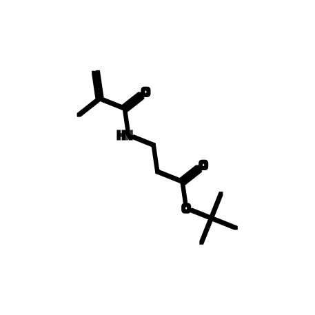 C=C(C)C(=O)NCCC(=O)OC(C)(C)C